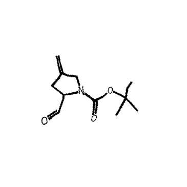 C=C1CC(C=O)N(C(=O)OC(C)(C)C)C1